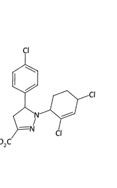 O=C(O)C1=NN(C2CCC(Cl)C=C2Cl)C(c2ccc(Cl)cc2)C1